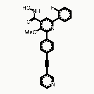 COc1c(C(=O)NO)cc(-c2ccccc2F)nc1-c1ccc(C#Cc2cccnc2)cc1